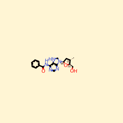 C[C@H]1C[C@H](N2CNc3c(NC(=O)c4ccccc4)ncnc32)O[C@@H]1CO